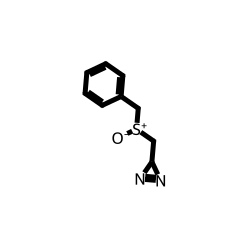 [O-][S+](Cc1ccccc1)CC1N=N1